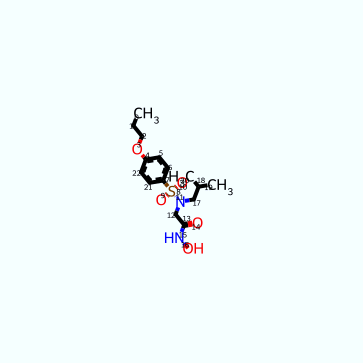 CCCOc1ccc(S(=O)(=O)N(CC(=O)NO)CC(C)C)cc1